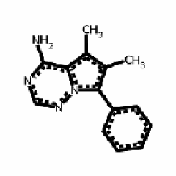 Cc1c(C)c2c(N)ncnn2c1-c1ccccc1